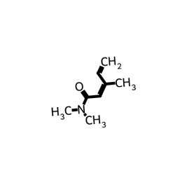 C=C/C(C)=C\C(=O)N(C)C